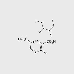 CCC(C)C(C)CC.Cc1ccc(C(=O)O)cc1C(=O)O